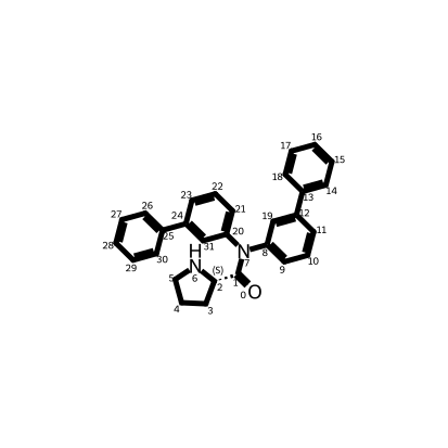 O=C([C@@H]1CCCN1)N(c1cccc(-c2ccccc2)c1)c1cccc(-c2ccccc2)c1